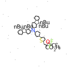 CCCCC1(CCCC)c2ccccc2-c2ccc(N(c3ccc(-c4ccc(/C=C(/C(=O)O)C(=O)C(F)(F)C(F)(F)F)s4)cc3)c3ccc4c(c3)C(CCCC)(CCCC)c3ccccc3-4)cc21